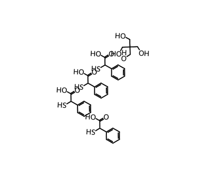 O=C(O)C(S)c1ccccc1.O=C(O)C(S)c1ccccc1.O=C(O)C(S)c1ccccc1.O=C(O)C(S)c1ccccc1.OCC(CO)(CO)CO